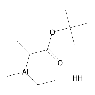 C[CH2][Al]([CH3])[CH](C)C(=O)OC(C)(C)C.[HH]